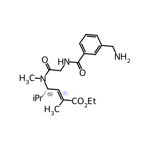 CCOC(=O)/C(C)=C/[C@H](C(C)C)N(C)C(=O)CNC(=O)c1cccc(CN)c1